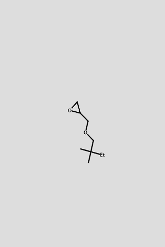 CCC(C)(C)COCC1CO1